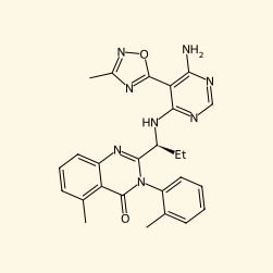 CC[C@H](Nc1ncnc(N)c1-c1nc(C)no1)c1nc2cccc(C)c2c(=O)n1-c1ccccc1C